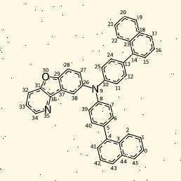 c1ccc2c(-c3ccc(N(c4ccc(-c5cccc6ccccc56)cc4)c4ccc5oc6cccnc6c5c4)cc3)cccc2c1